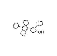 Oc1ccc(-c2c3ccccc3c(-c3ccccc3)c3ccccc23)cc1-c1ccccc1